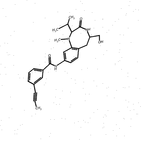 CC#Cc1cccc(C(=O)Nc2ccc3c(c2)N(C)C(C(C)C)C(=O)NC(CO)C3)c1